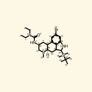 CCN(CC)C(=O)N[C@H]1CC2c3cc(Br)cc4c3C(C[C@H]2N(C)C1)C([Si](C)(C)C(C)(C)C)N4